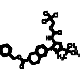 CC(C)(C)c1cc(NC(=O)OCC(Cl)(Cl)Cl)n(-c2ccc3c(c2)CCN(C(=O)OCc2ccccc2)C3)n1